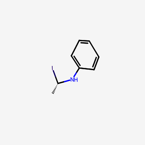 C[C@H](I)Nc1ccccc1